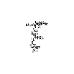 COc1ccc(CN2CCN(CCCCc3ccc4c(c3)[S+]([O-])CN4C)CC2)c(OC)c1OC.Cl.Cl